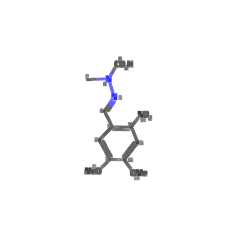 COc1cc(C=NN(C)C(=O)O)c([N+](=O)[O-])cc1OC